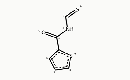 O=C(NC=S)c1cccs1